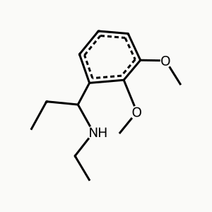 CCNC(CC)c1cccc(OC)c1OC